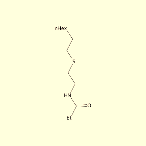 CCCCCCCCSCCNC(=O)CC